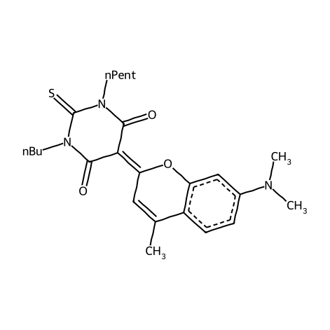 CCCCCN1C(=O)/C(=C2/C=C(C)c3ccc(N(C)C)cc3O2)C(=O)N(CCCC)C1=S